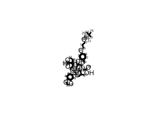 CC(C)CN(C([C@H](O)[C@H](Cc1ccc(OCCCO[Si](C)(C)C(C)(C)C)cc1)NC(=O)O)[C@@H]1CO[C@H]2OCC[C@H]21)S(=O)(=O)c1ccc2c(c1)OCO2